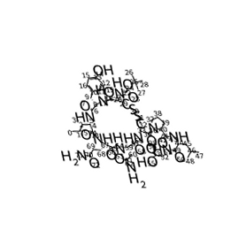 CC[C@H](C)[C@@H]1NC(=O)[C@H](Cc2ccc(O)cc2)NC(=O)[C@@H](NC(=O)OC(C)(C)C)CSSC[C@@H](C(=O)N2CCC[C@H]2C(=O)N[C@@H](CC(C)C)C(=O)NCC(=O)O)NC(=O)[C@H](CC(N)=O)NC(=O)[C@H](CCC(N)=O)NC1=O